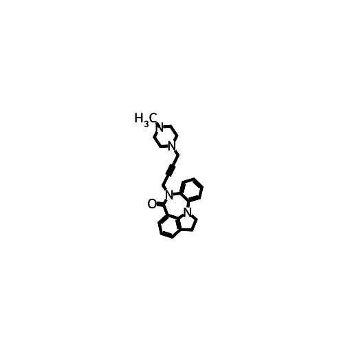 CN1CCN(CC#CCN2C(=O)c3cccc4c3N(CC4)c3ccccc32)CC1